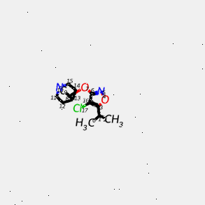 CC(C)c1onc(OC2CN3CCC2CC3)c1Cl